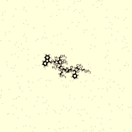 C=CCOC(=O)[C@@H](C)C[C@H](Cc1ccccc1)NC(=O)c1csc([C@@H](C[C@H](C(C)C)N(C)C(=O)[C@@H](NC(=O)OCC2c3ccccc3-c3ccccc32)[C@@H](C)CC)OCC=C)n1